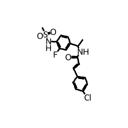 CC(NC(=O)C=Cc1ccc(Cl)cc1)c1ccc(NS(C)(=O)=O)c(F)c1